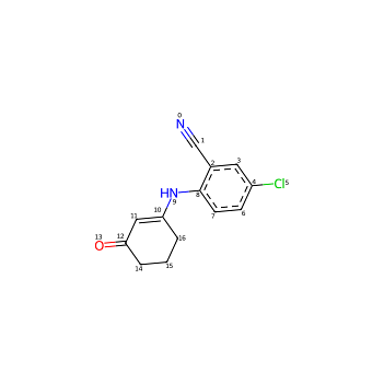 N#Cc1cc(Cl)ccc1NC1=CC(=O)CCC1